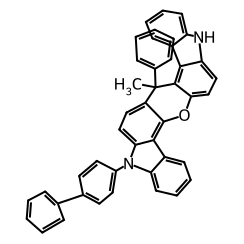 CC1(c2ccccc2)c2ccc3c(c2Oc2ccc4[nH]c5ccccc5c4c21)c1ccccc1n3-c1ccc(-c2ccccc2)cc1